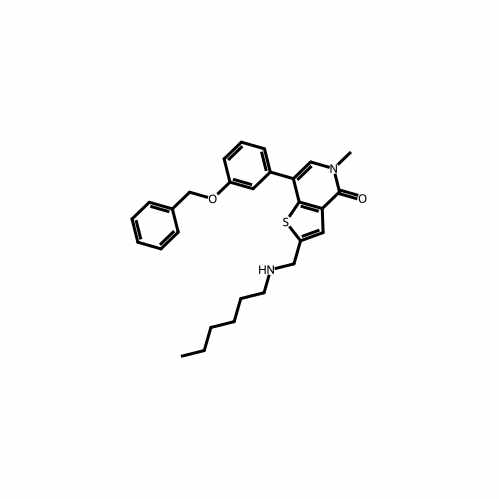 CCCCCCNCc1cc2c(=O)n(C)cc(-c3cccc(OCc4ccccc4)c3)c2s1